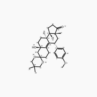 COc1ccc([C@H]2C[C@@]3(C)C(=O)CC[C@H]3[C@@H]3CC[C@@]4(O)CC5(CCC4=C32)OCC(C)(C)CO5)cc1